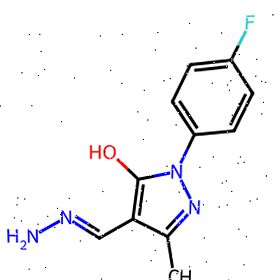 Cc1nn(-c2ccc(F)cc2)c(O)c1C=NN